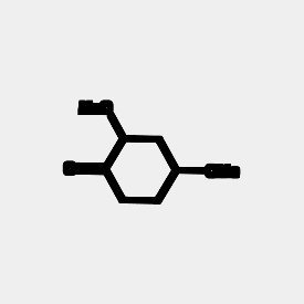 COC1CCC(=O)C(OC)C1